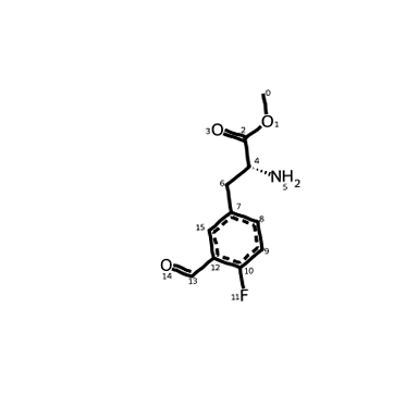 COC(=O)[C@H](N)Cc1ccc(F)c(C=O)c1